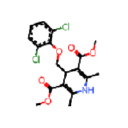 COC(=O)C1=C(C)NC(C)=C(C(=O)OC)C1COc1c(Cl)cccc1Cl